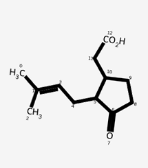 CC(C)=CCC1C(=O)CCC1CC(=O)O